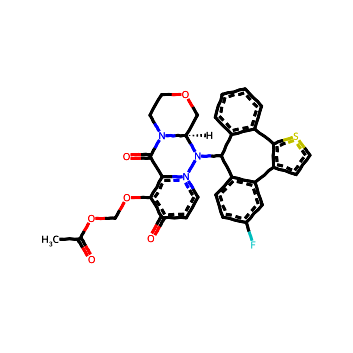 CC(=O)OCOc1c2n(ccc1=O)N(C1c3ccc(F)cc3-c3ccsc3-c3ccccc31)[C@@H]1COCCN1C2=O